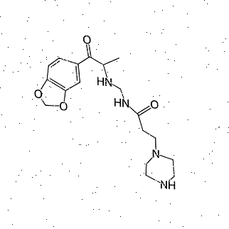 CC(NCNC(=O)CCN1CCNCC1)C(=O)c1ccc2c(c1)OCO2